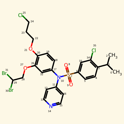 CC(C)c1ccc(S(=O)(=O)N(c2ccncc2)c2ccc(OCCCCl)c(OCC(Br)Br)c2)cc1Cl